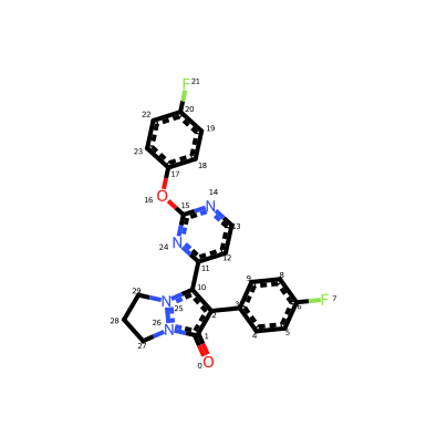 O=c1c(-c2ccc(F)cc2)c(-c2ccnc(Oc3ccc(F)cc3)n2)n2n1CCC2